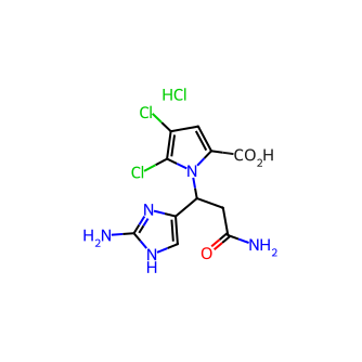 Cl.NC(=O)CC(c1c[nH]c(N)n1)n1c(C(=O)O)cc(Cl)c1Cl